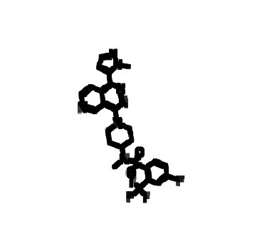 CN(C1CCN(c2nnc(-c3ccnn3C)c3ccncc23)CC1)S(=O)(=O)c1ccc(F)cc1C(F)(F)F